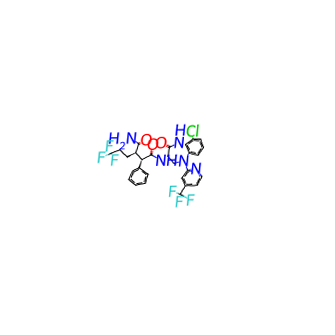 NC(=O)[C@H](CCC(F)(F)F)[C@@H](C(=O)N[C@H]1CN(c2cc(C(F)(F)F)ccn2)c2cccc(Cl)c2NC1=O)c1ccccc1